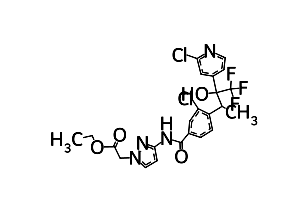 CCOC(=O)Cn1ccc(NC(=O)c2ccc(C(C)C(O)(c3ccnc(Cl)c3)C(F)(F)F)c(Cl)c2)n1